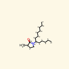 BC1CCN(C(CCCCC)CCCCCCC)C1=O